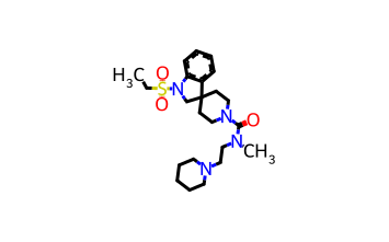 CCS(=O)(=O)N1CC2(CCN(C(=O)N(C)CCN3CCCCC3)CC2)c2ccccc21